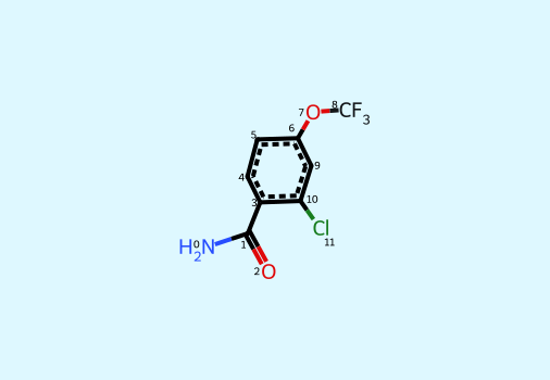 NC(=O)c1ccc(OC(F)(F)F)cc1Cl